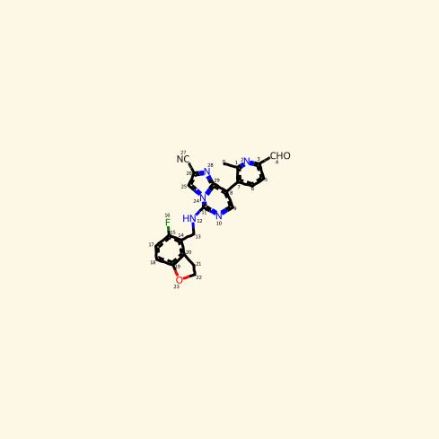 Cc1nc(C=O)ccc1-c1cnc(NCc2c(F)ccc3c2CCO3)n2cc(C#N)nc12